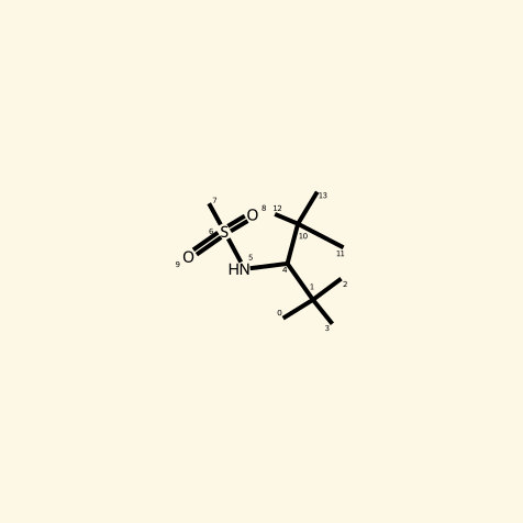 CC(C)(C)C(NS(C)(=O)=O)C(C)(C)C